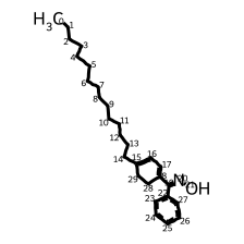 CCCCCCCCCCCCCCCC1=CC=C(C(=NO)c2ccccc2)CC1